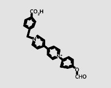 O=COc1ccc(-[n+]2ccc(-c3cc[n+](Cc4ccc(C(=O)O)cc4)cc3)cc2)cc1